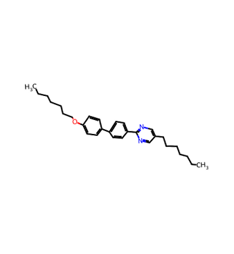 CCCCCCCOc1ccc(-c2ccc(-c3ncc(CCCCCCC)cn3)cc2)cc1